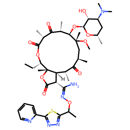 CC[C@@H]1OC(=O)[C@H](C)C(=O)[C@H](C)[C@@H](O[C@@H]2O[C@@H](C)C[C@H](N(C)C)[C@H]2O)[C@](C)(OC)C[C@@H](C)C(=O)[C@H](C)[C@H]2[C@H](/C(N)=N/OC(C)c3nnc(-c4ccccn4)s3)C(=O)O[C@@]21C